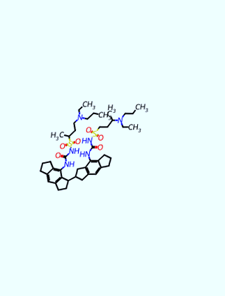 CCCN(CC)CCC(C)S(=O)(=O)NC(=O)Nc1c2c(cc3c1C(C1Cc4cc5c(c(NC(=O)NS(=O)(=O)CCC(C)N(CC)CCC)c4C1)CCC5)CC3)CCC2